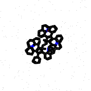 C[Si]1(CC[Si]2(C)C(c3cccc4cccnc34)=C(c3ccccc3)C(c3ccccc3)=C2c2cccc3cccnc23)C(c2cccc3cccnc23)=C(c2ccccc2)C(c2ccccc2)=C1c1cccc2cccnc12